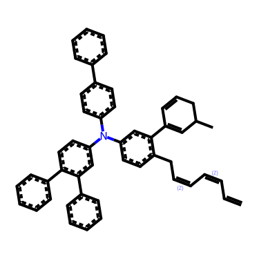 C=C/C=C\C=C/Cc1ccc(N(c2ccc(-c3ccccc3)cc2)c2ccc(-c3ccccc3)c(-c3ccccc3)c2)cc1C1=CC(C)CC=C1